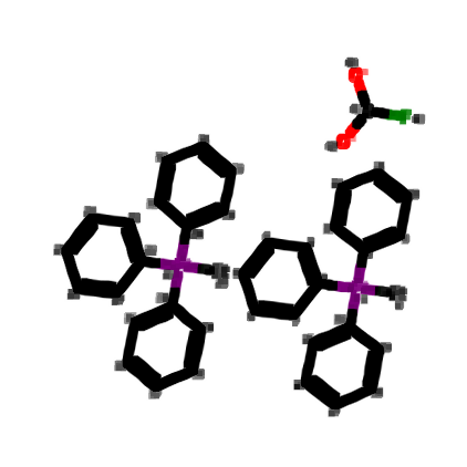 CC[P+](c1ccccc1)(c1ccccc1)c1ccccc1.CC[P+](c1ccccc1)(c1ccccc1)c1ccccc1.[O-]B([O-])F